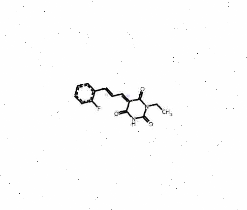 CCN1C(=O)NC(=O)/C(=C\C=C\c2ccccc2F)C1=O